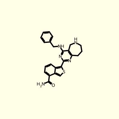 NC(=O)c1cccc2c(-c3nc4c(c(NCc5ccccc5)n3)CNCCC4)scc12